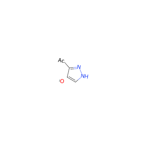 CC(=O)c1cc[nH]n1.[O]